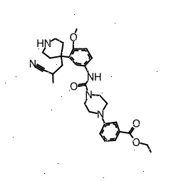 CCOC(=O)c1cccc(N2CCN(C(=O)Nc3ccc(OC)c(C4(CC(C)C#N)CCNCC4)c3)CC2)c1